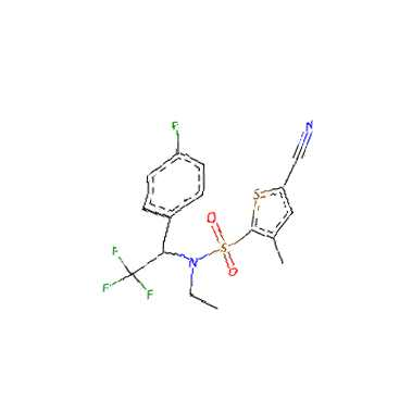 CCN(C(c1ccc(F)cc1)C(F)(F)F)S(=O)(=O)c1sc(C#N)cc1C